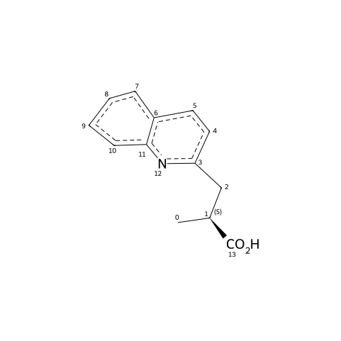 C[C@@H](Cc1ccc2ccccc2n1)C(=O)O